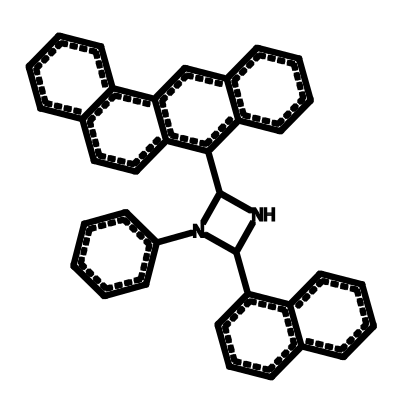 c1ccc(N2C(c3cccc4ccccc34)NC2c2c3ccccc3cc3c2ccc2ccccc23)cc1